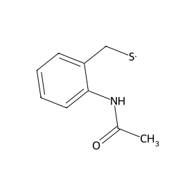 CC(=O)Nc1ccccc1C[S]